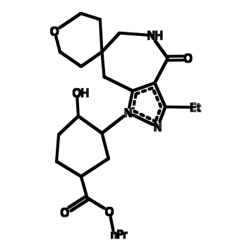 CCCOC(=O)C1CCC(O)C(n2nc(CC)c3c2CC2(CCOCC2)CNC3=O)C1